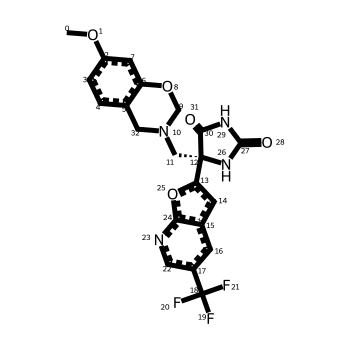 COc1ccc2c(c1)OCN(C[C@@]1(c3cc4cc(C(F)(F)F)cnc4o3)NC(=O)NC1=O)C2